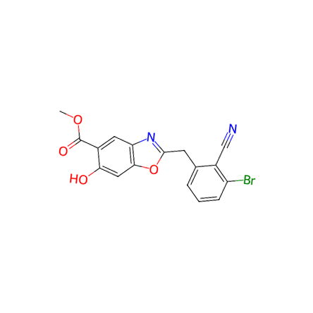 COC(=O)c1cc2nc(Cc3cccc(Br)c3C#N)oc2cc1O